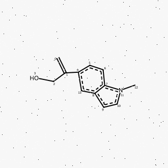 C=C(CO)c1ccc2c(ccn2C)c1